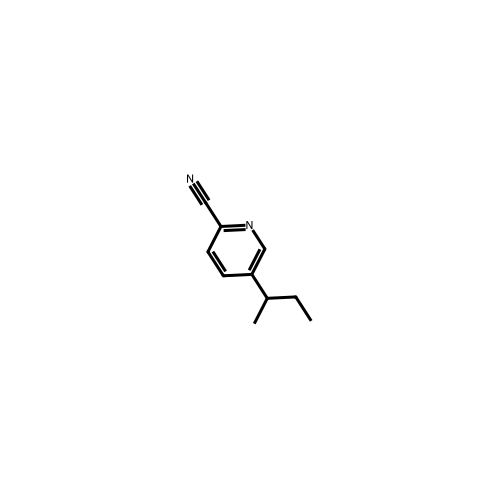 CCC(C)c1ccc(C#N)nc1